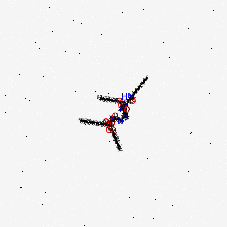 CCCCCCCCCCCCNC(=O)CCN(CCN(C)C(=O)CCN(C)CCN(C)CCC(=O)N(C)CCN(CC(=O)OCCCCCCCCCC)CC(O)CCCCCCCCCCCC)CC(=O)OCCCCCCCCCC